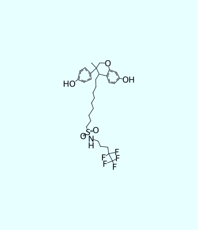 CC1(c2ccc(O)cc2)COc2cc(O)ccc2C1CCCCCCCCCS(=O)(=O)NCCCC(F)(F)C(F)(F)F